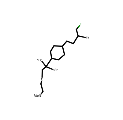 CCCC(CCC)(CCCCNC)C1CCC(CCC(CC)CF)CC1